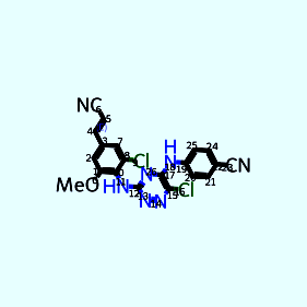 COc1cc(/C=C/C#N)cc(Cl)c1Nc1nnc(Cl)c(Nc2ccc(C#N)cc2)n1